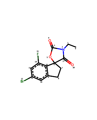 CCN1C(=O)OC2(CCc3cc(Br)cc(F)c32)C1=O